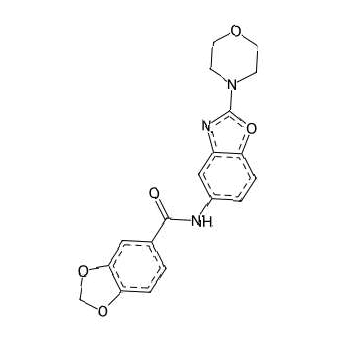 O=C(Nc1ccc2oc(N3CCOCC3)nc2c1)c1ccc2c(c1)OCO2